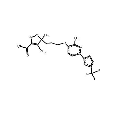 CC1=C(C(N)=O)NOC1(C)CCCOc1ccc(-c2noc(C(F)(F)F)n2)cc1C